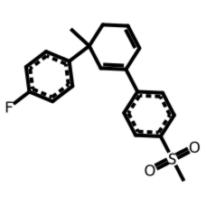 CC1(c2ccc(F)cc2)C=C(c2ccc(S(C)(=O)=O)cc2)C=CC1